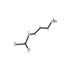 CCCCCCCOC(Cl)Cl